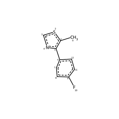 Cc1s[c]nc1-c1ccc(F)cc1